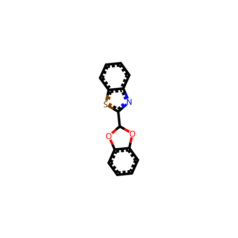 c1ccc2c(c1)O[C](c1nc3ccccc3s1)O2